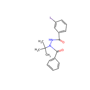 CC(C)(C)N(NC(=O)c1cccc(I)c1)C(=O)c1ccccc1